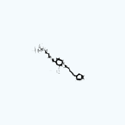 O=[PH](O)OCCCNCc1ccc(SCCCCCc2ccc(F)cc2)c(OC(F)(F)F)c1